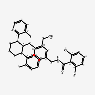 Cc1cccnc1[C@H]1CCC[C@@H](c2ncccc2C)N1Cc1ccc(CNC(=O)c2c(Cl)cncc2Cl)cc1CO